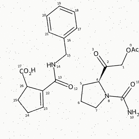 CC(=O)OCC(=O)[C@@H]1CCCN1C(N)=O.O=C(NCc1ccccc1)C1=CCCC1C(=O)O